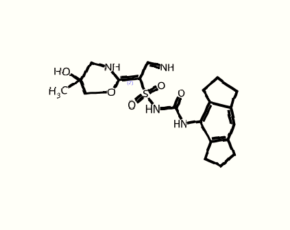 CC1(O)CN/C(=C(\C=N)S(=O)(=O)NC(=O)Nc2c3c(cc4c2CCC4)CCC3)OC1